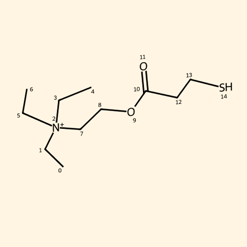 CC[N+](CC)(CC)CCOC(=O)CCS